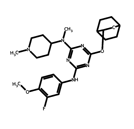 COc1ccc(Nc2nc(OC3CC4CCC3CC4)nc(N(C)C3CCN(C)CC3)n2)cc1F